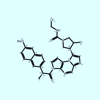 CCC1CN(C(=O)NCC(F)(F)F)C[C@@H]1c1cnc2cnc3c(ccn3C(=O)[C@@H](C)c3ccc4cc(OC)ccc4c3)n12